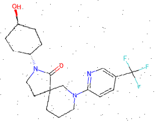 O=C1N([C@H]2CC[C@H](O)CC2)CCC12CCCN(c1ccc(C(F)(F)F)cn1)C2